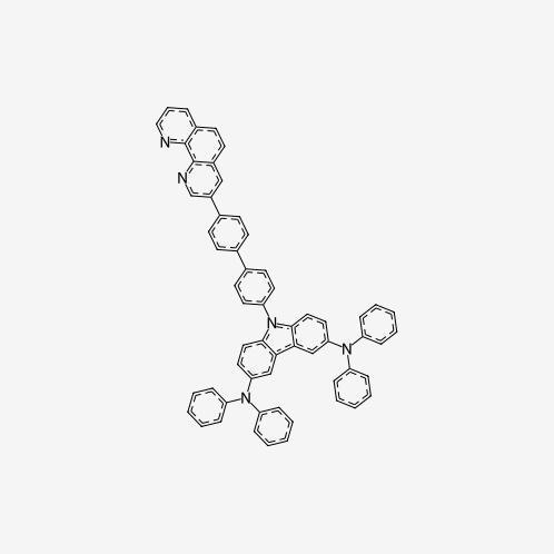 c1ccc(N(c2ccccc2)c2ccc3c(c2)c2cc(N(c4ccccc4)c4ccccc4)ccc2n3-c2ccc(-c3ccc(-c4cnc5c(ccc6cccnc65)c4)cc3)cc2)cc1